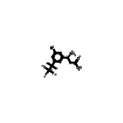 CC(C)(c1cc(Br)cc([C@@H](N)CC(=O)O)c1)C(F)(F)F